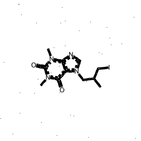 CC(CI)Cn1cnc2c1c(=O)n(C)c(=O)n2C